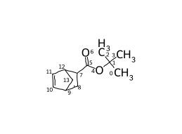 CC(C)(C)OC(=O)C1[CH]C2C=CC1C2